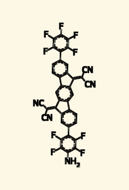 N#CC(C#N)=C1c2cc(-c3c(F)c(F)c(N)c(F)c3F)ccc2-c2cc3c(cc21)-c1ccc(-c2c(F)c(F)c(F)c(F)c2F)cc1C3=C(C#N)C#N